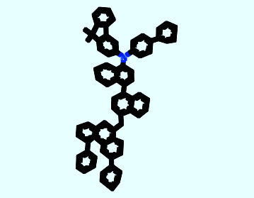 CC1(C)c2ccccc2-c2cc(N(c3ccc(-c4ccccc4)cc3)c3ccc(-c4ccc(Cc5cc6cccc(-c7ccccc7)c6c6cc(-c7ccccc7)ccc56)c5ccccc45)c4ccccc34)ccc21